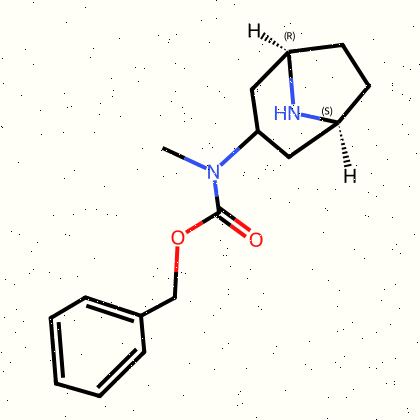 CN(C(=O)OCc1ccccc1)C1C[C@H]2CC[C@@H](C1)N2